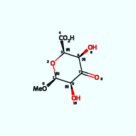 CO[C@H]1O[C@@H](C(=O)O)[C@@H](O)C(=O)[C@H]1O